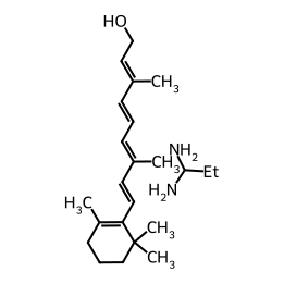 CC1=C(/C=C/C(C)=C/C=C/C(C)=C/CO)C(C)(C)CCC1.CCC(N)N